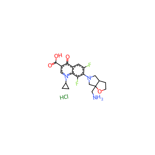 Cl.NCC12CN(c3c(F)cc4c(=O)c(C(=O)O)cn(C5CC5)c4c3F)CC1CCO2